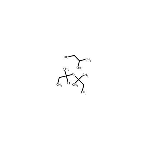 CC(O)CO.CCC(C)(C)OC(C)(C)CC